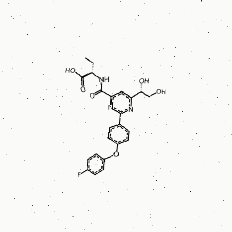 CC[C@H](NC(=O)c1cc([C@H](O)CO)nc(-c2ccc(Oc3ccc(F)cc3)cc2)n1)C(=O)O